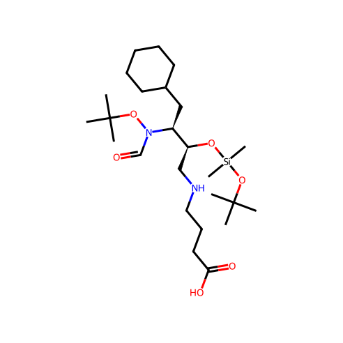 CC(C)(C)ON(C=O)[C@@H](CC1CCCCC1)[C@H](CNCCCC(=O)O)O[Si](C)(C)OC(C)(C)C